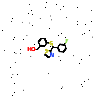 OCc1cccc(SC(c2cccc(F)c2)c2nccs2)c1